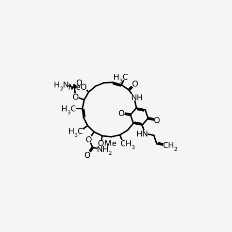 C=CCNC1=C2CC(C)CC(OC)C(OC(N)=O)C(C)/C=C(/C)C(OC(N)=O)C(OC)CC/C=C(/C)C(=O)NC(=CC1=O)C2=O